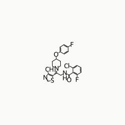 Cc1ncsc1C(CNC(=O)c1c(F)cccc1Cl)N1CCC(Oc2ccc(F)cc2)CC1